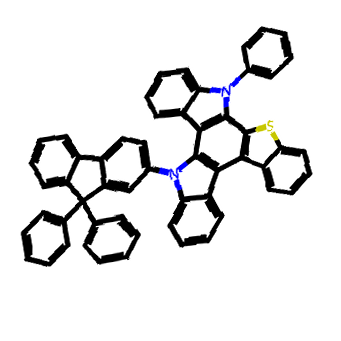 c1ccc(-n2c3ccccc3c3c2c2sc4ccccc4c2c2c4ccccc4n(-c4ccc5c(c4)C(c4ccccc4)(c4ccccc4)c4ccccc4-5)c23)cc1